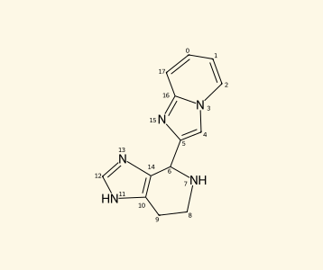 c1ccn2cc(C3NCCc4[nH]cnc43)nc2c1